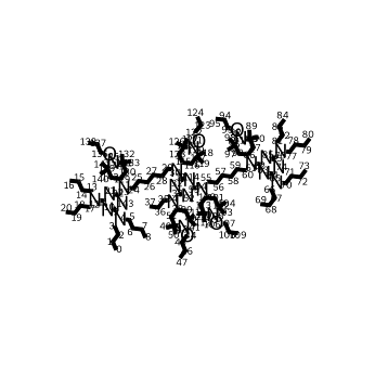 CCCCN(CCCC)c1nc(N(CCCC)CCCC)nc(N(CCCCCCN(c2nc(N(CCC)C3CC(C)(C)N(OCCC)C(C)(C)C3)nc(N(CCCCCCN(c3nc(N(CCCC)CCCC)nc(N(CCCC)CCCC)n3)C3CC(C)(C)N(OCCC)C(C)(C)C3)C3CC(C)(C)N(OCCC)C(C)(C)C3)n2)C2CC(C)(C)N(OCCC)C(C)(C)C2)C2CC(C)(C)N(OCCC)C(C)(C)C2)n1